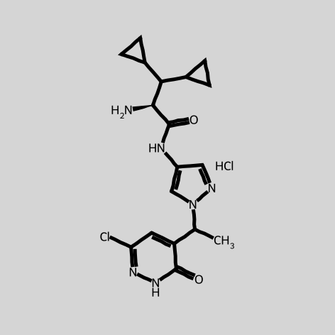 CC(c1cc(Cl)n[nH]c1=O)n1cc(NC(=O)[C@@H](N)C(C2CC2)C2CC2)cn1.Cl